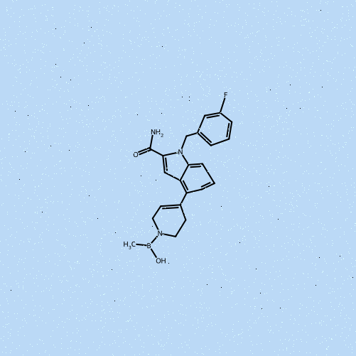 CB(O)N1CC=C(c2cccc3c2cc(C(N)=O)n3Cc2cccc(F)c2)CC1